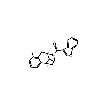 CC1(C)[C@H]2Cc3c(O)cccc3[C@]1(C)CCN2C(=O)c1coc2ccccc12